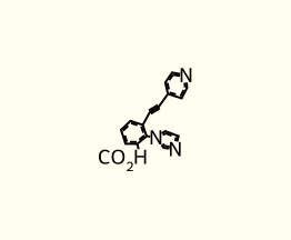 O=C(O)c1cccc(C#Cc2ccncc2)c1-n1ccnc1